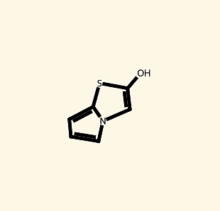 Oc1cn2cccc2s1